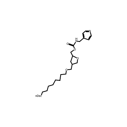 CCCCCCCCCCCCCCCCCCOCC1COC(COC(=O)NCc2ccncc2)C1